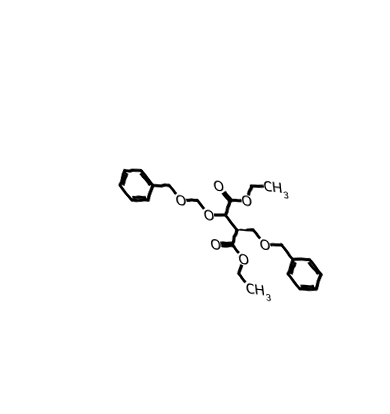 CCOC(=O)C(OCOCc1ccccc1)[C@@H](COCc1ccccc1)C(=O)OCC